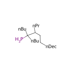 CCCCCCCCCCCCC(CCC)C(P)(CCCC)CCCC